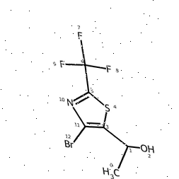 CC(O)c1sc(C(F)(F)F)nc1Br